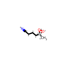 C[Si]1(CCCC#N)OO1